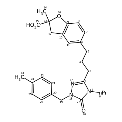 CCCn1c(CCCc2ccc3c(c2)CC(C)(C(=O)O)O3)nn(Cc2ccc(C)cc2)c1=O